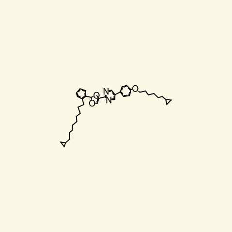 C1=C(c2ncc(-c3ccc(OCCCCCCC4CC4)cc3)cn2)OC(c2ccccc2CCCCCCCCCC2CC2)O1